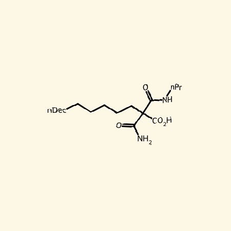 CCCCCCCCCCCCCCCC(C(N)=O)(C(=O)O)C(=O)NCCC